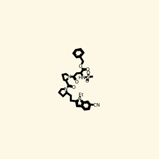 CCn1c(CCC2CCCN2C(=O)C2CCCN2C(=O)CC(NS(C)(=O)=O)C(=O)OCc2ccccc2)cc2ccc(C#N)cc21